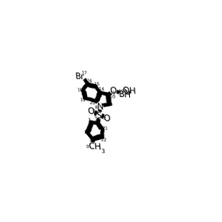 Cc1ccc(S(=O)(=O)n2cc(OBO)c3cc(Br)ccc32)cc1